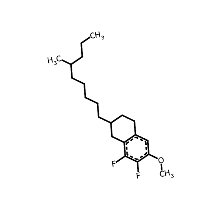 CCCC(C)CCCCCC1CCc2cc(OC)c(F)c(F)c2C1